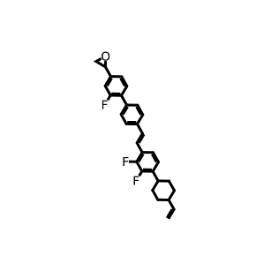 C=CC1CCC(c2ccc(/C=C/c3ccc(-c4ccc(C5CO5)cc4F)cc3)c(F)c2F)CC1